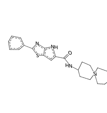 O=C(NC1CC[Si]2(CCCCC2)CC1)c1cc2sc(-c3ccccc3)nc2[nH]1